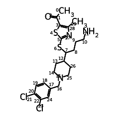 CC(=O)c1sc(SC(CCCN)C2CCN(Cc3ccc(Cl)c(Cl)c3)CC2)nc1C